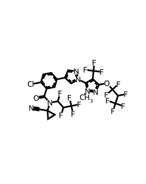 Cn1nc(OC(F)(F)C(F)C(F)(F)F)c(C(F)(F)F)c1-n1cc(-c2ccc(Cl)c(C(=O)N(C(F)C(F)C(F)(F)F)C3(C#N)CC3)c2)cn1